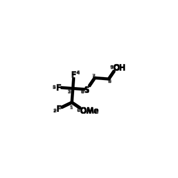 COC(F)C(F)(F)SCCO